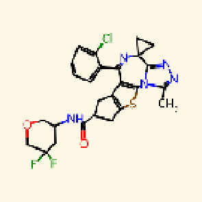 Cc1nnc2n1-c1sc3c(c1C(c1ccccc1Cl)=NC21CC1)C[C@H](C(=O)NC1COCC(F)(F)C1)C3